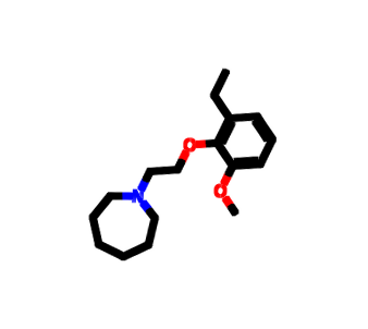 CCc1cccc(OC)c1OCCN1CCCCCC1